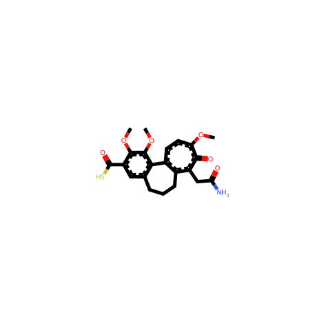 COc1c(C(=O)S)cc2c(c1OC)-c1ccc(OC)c(=O)c(CC(N)=O)c1CCC2